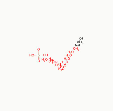 O.O.O.O.O.O.O.O.O.O.O.O.O=S(=O)(O)O.[AlH3].[KH].[NaH]